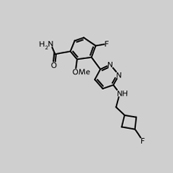 COc1c(C(N)=O)ccc(F)c1-c1ccc(NCC2CC(F)C2)nn1